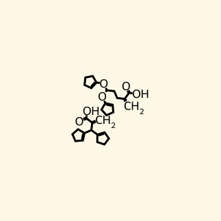 C=C(C(=O)O)C(C1=CCCC1)C1=CCCC1.C=C(CCC(OC1=CCCC1)OC1=CCCC1)C(=O)O